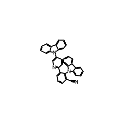 N#Cc1cccc(-c2ccc(-n3c4ccccc4c4ccccc43)cn2)c1-n1c2ccccc2c2ccccc21